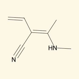 C=C/C(C#N)=C(\C)NC